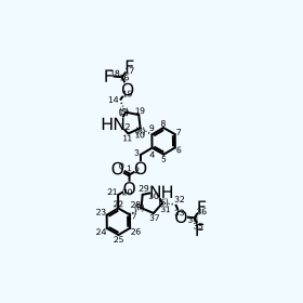 O=C(OCc1ccccc1[C@@H]1CN[C@H](COC(F)F)C1)OCc1ccccc1[C@@H]1CN[C@H](COC(F)F)C1